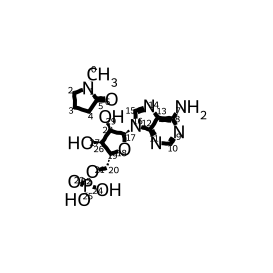 CN1CCCC1=O.Nc1ncnc2c1ncn2[C@@H]1O[C@H](COP(=O)(O)O)[C@@H](O)[C@H]1O